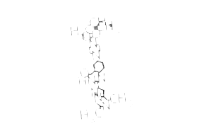 Cc1cn2nc(-c3nc4ccc(N5CCN(C(=O)OC(C)(C)C)CC5)cc4c(=O)[nH]3)cc2c(C)n1